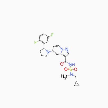 CN(CC1CC1)S(=O)(=O)NC(=O)c1cnn2ccc(N3CCC[C@@H]3c3cc(F)ccc3F)cc12